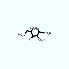 O=C(O)CC(C(=O)O)C(=O)C(C(=O)O)C(O)C(=O)O